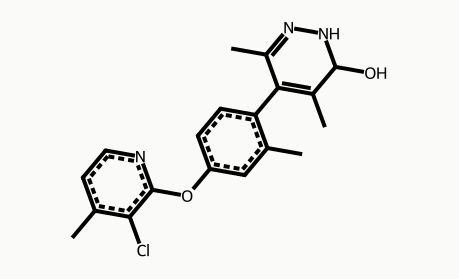 CC1=NNC(O)C(C)=C1c1ccc(Oc2nccc(C)c2Cl)cc1C